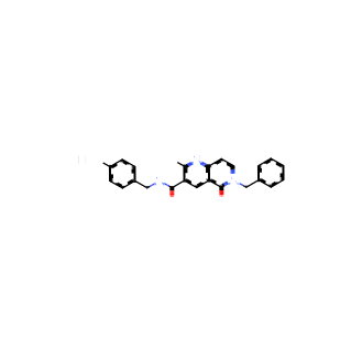 Cc1ccc(CNC(=O)c2cc3c(=O)n(Cc4ccccc4)ccc3nc2C)cc1